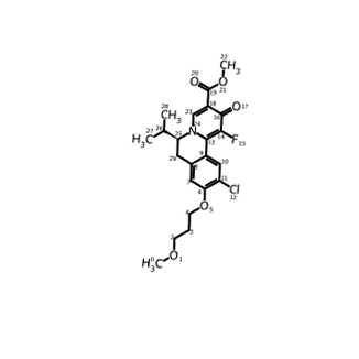 COCCCOc1cc2c(cc1Cl)-c1c(F)c(=O)c(C(=O)OC)cn1[C@H](C(C)C)C2